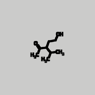 CC(=O)C(CCO)C(C)C